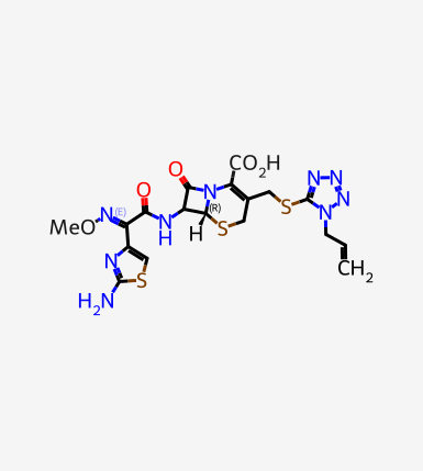 C=CCn1nnnc1SCC1=C(C(=O)O)N2C(=O)C(NC(=O)/C(=N/OC)c3csc(N)n3)[C@H]2SC1